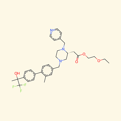 CCOCCOC(=O)C[C@@H]1CN(Cc2ccc(-c3ccc(C(C)(O)C(F)(F)F)cc3)c(C)c2)CCN1Cc1ccncc1